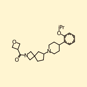 CC(C)Oc1ccccc1C1CCN(C2CCC3(C2)CN(C(=O)C2COC2)C3)CC1